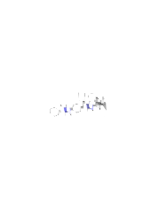 CCc1nn(C(C)(C)C)c(O)c1/N=N/c1ccc(/N=N/c2ccccc2)cc1